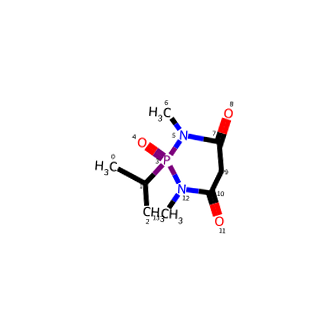 CC(C)P1(=O)N(C)C(=O)CC(=O)N1C